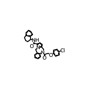 O=C(NC1CCCc2ccccc21)c1ccc2n1Cc1ccccc1N(C(=O)COc1ccc(Cl)cc1)C2